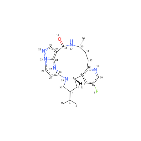 CC(C)C1C[C@H]2c3cc(F)cnc3CC[C@@H](C)NC(=O)c3cnn4ccc(nc34)N2C1